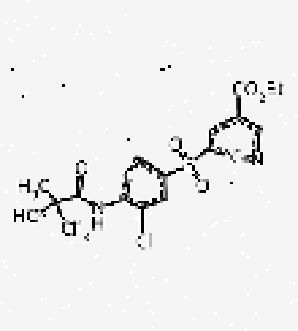 CCOC(=O)c1cncc(S(=O)(=O)c2ccc(NC(=O)C(C)(O)C(F)(F)F)c(Cl)c2)c1